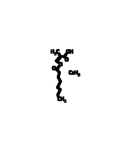 CCCCCCCC(=O)OC=C(C)C(=O)O.[CaH2]